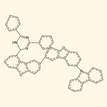 c1ccc(C2=NC(c3cccc4oc5ccc(-c6ccc7oc8ccc(-n9c%10ccccc%10c%10ccccc%109)cc8c7c6)cc5c34)NC(c3ccccc3)=N2)cc1